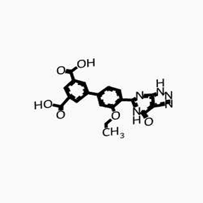 CCOc1cc(-c2cc(C(=O)O)cc(C(=O)O)c2)ccc1-c1nc2[nH]nnc2c(=O)[nH]1